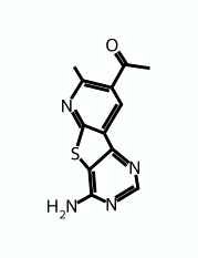 CC(=O)c1cc2c(nc1C)sc1c(N)ncnc12